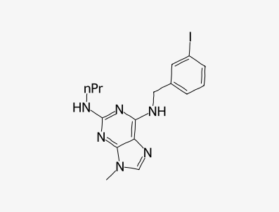 CCCNc1nc(NCc2cccc(I)c2)c2ncn(C)c2n1